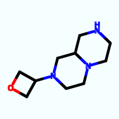 C1CN2CCN(C3COC3)CC2CN1